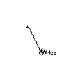 CCCCCCOC(=O)CCCCCCCCCCCCCCC1CC1